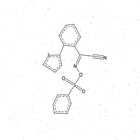 N#CC(=NOS(=O)(=O)c1ccccc1)c1ccccc1-c1cccs1